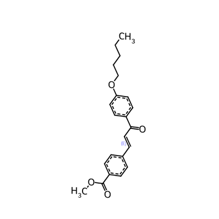 CCCCCOc1ccc(C(=O)/C=C/c2ccc(C(=O)OC)cc2)cc1